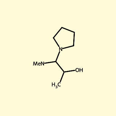 CNC(C(C)O)N1CCCC1